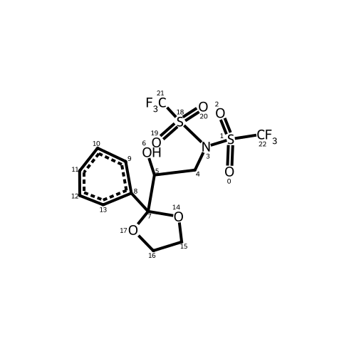 O=S(=O)(N(CC(O)C1(c2ccccc2)OCCO1)S(=O)(=O)C(F)(F)F)C(F)(F)F